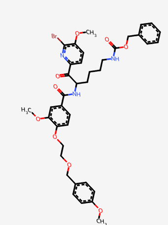 COc1ccc(COCCOc2ccc(C(=O)NC(CCCCNC(=O)OCc3ccccc3)C(=O)c3ccc(OC)c(Br)n3)cc2OC)cc1